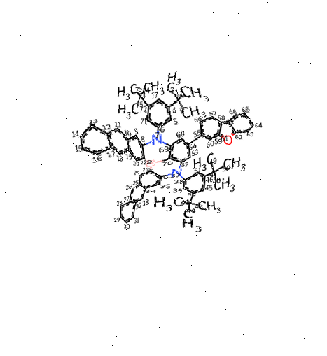 CC(C)(C)c1cc(N2c3cc4cc5ccccc5cc4cc3B3c4cc5cc6ccccc6cc5cc4N(c4cc(C(C)(C)C)cc(C(C)(C)C)c4)c4cc(-c5ccc6c(c5)oc5ccccc56)cc2c43)cc(C(C)(C)C)c1